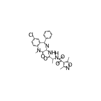 Cc1noc(C)c1S(=O)(=O)NC(C)C(=O)NC1N=C(c2ccccc2)c2cc(Cl)ccc2N(C)C1=O